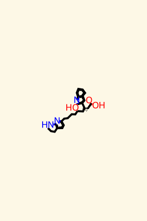 O=C(O)C[C@@H](CC(O)CCCCc1ccc2c(n1)NCCC2)c1cnc2ccccc2c1